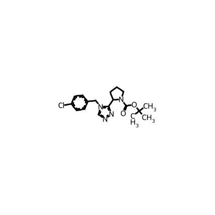 CC(C)(C)OC(=O)N1CCCC1c1nncn1Cc1ccc(Cl)cc1